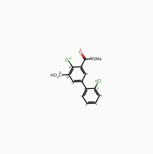 COC(=O)c1cc(-c2ccccc2Cl)cc(C(=O)O)c1Cl